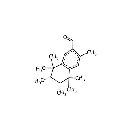 Cc1cc2c(cc1C=O)C(C)(C)[C@@H](C)[C@@H](C)C2(C)C